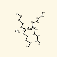 CCCCC[N](CCCCC)[Nd+][N](CCCCC)CCCCC.[Cl-]